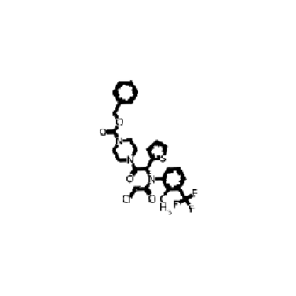 Cc1c(N(C(=O)CCl)C(C(=O)N2CCN(C(=O)OCc3ccccc3)CC2)c2cccs2)cccc1C(F)(F)F